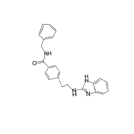 O=C(NCc1ccccc1)c1ccc(CCNc2nc3ccccc3[nH]2)cc1